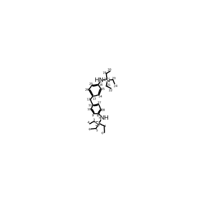 CC[Si](CC)(CC)Nc1ccc(Cc2ccc(N[Si](CC)(CC)CC)cc2)cc1